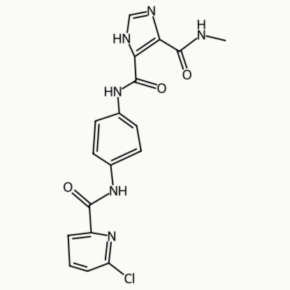 CNC(=O)c1nc[nH]c1C(=O)Nc1ccc(NC(=O)c2cccc(Cl)n2)cc1